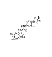 Cc1cc(NC(=O)Nc2c[nH]c3cc(F)c(F)cc23)cnc1N1CC(F)(F)C1